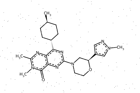 Cc1nc2c(nc(N3CCO[C@H](c4cnn(C)c4)C3)nc2[C@H]2CC[C@H](C)CC2)c(=O)n1C